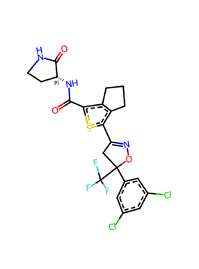 O=C(N[C@@H]1CCNC1=O)c1sc(C2=NOC(c3cc(Cl)cc(Cl)c3)(C(F)(F)F)C2)c2c1CCC2